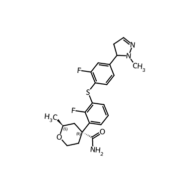 C[C@H]1C[C@@](C(N)=O)(c2cccc(Sc3ccc(C4CC=NN4C)cc3F)c2F)CCO1